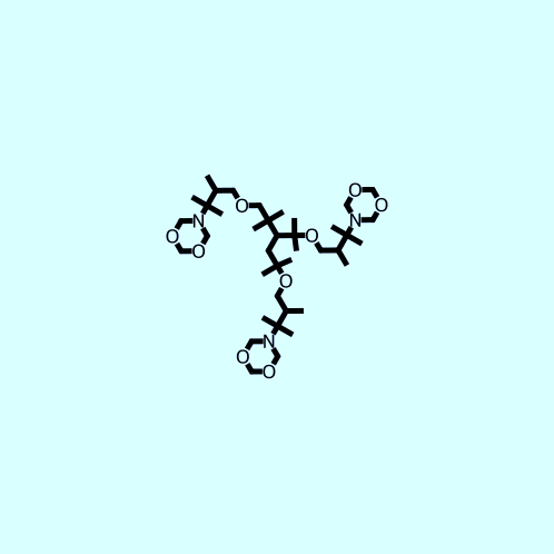 CC(COCC(C)(C)C(CC(C)(C)OCC(C)C(C)(C)N1COCOC1)C(C)(C)OCC(C)C(C)(C)N1COCOC1)C(C)(C)N1COCOC1